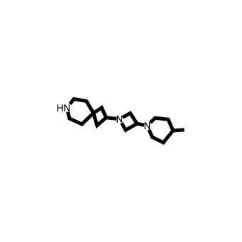 CC1CCN(C2CN(C3CC4(CCNCC4)C3)C2)CC1